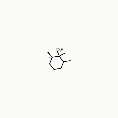 CC1CCC[C@@H](C)[C@@]1(C)C(=O)O